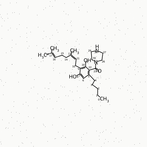 CCCCCc1cc(O)c(CC=C(C)CCC=C(C)C)c(O)c1C(=O)N1CCNCC1